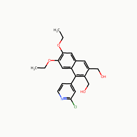 CCOc1cc2cc(CO)c(CO)c(-c3ccnc(Cl)c3)c2cc1OCC